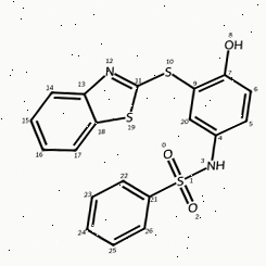 O=S(=O)(Nc1ccc(O)c(Sc2nc3ccccc3s2)c1)c1ccccc1